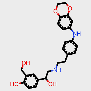 OCc1cc(C(O)CNCCc2ccc(Nc3ccc4c(c3)OCCO4)cc2)ccc1O